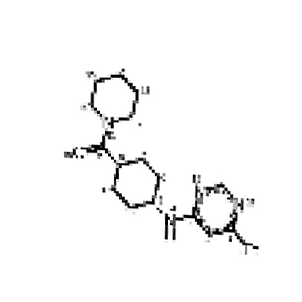 CCc1cc(N[C@H]2CC[C@H](C(=O)N3CCCCC3)CC2)ncn1